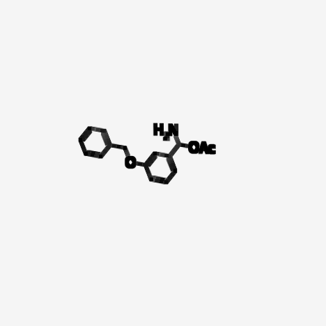 CC(=O)OC(N)c1cccc(OCc2ccccc2)c1